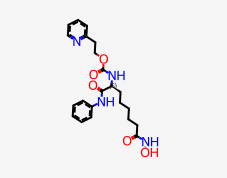 O=C(CCCCC[C@H](NC(=O)OCCc1ccccn1)C(=O)Nc1ccccc1)NO